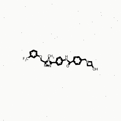 Cn1c(COc2cccc(C(F)(F)F)c2)nnc1-c1ccc(NC(=O)c2ccc(CN3CC(O)C3)cc2)cc1